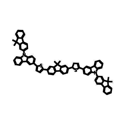 CC1(C)c2cc(-c3ccc(-c4ccc5c(c4)c4ccccc4n5-c4ccc5c(c4)C(C)(C)c4ccccc4-5)s3)ccc2-c2ccc(C3CC=C(c4ccc5c(c4)c4ccccc4n5-c4ccc5c(c4)C(C)(C)c4ccccc4-5)S3)cc21